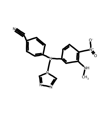 CNc1cc(N(c2ccc(C#N)cc2)n2cnnc2)ccc1[N+](=O)[O-]